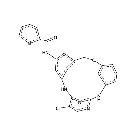 O=C(Nc1cc2cc(c1)Nc1nc(ncc1Cl)Nc1cccc(c1)CC2)c1ccccn1